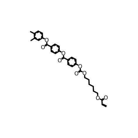 C=CC(=O)OCCCCCCOC(=O)Oc1ccc(C(=O)Oc2ccc(C(=O)Oc3ccc(C)c(C)c3)cc2)cc1